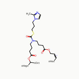 CCCCCC/C=C\COC(=O)CCCN(CCCC(=O)OC(CCCCCCC)CCCCCCCC)C(=O)SCCCn1ccnc1C